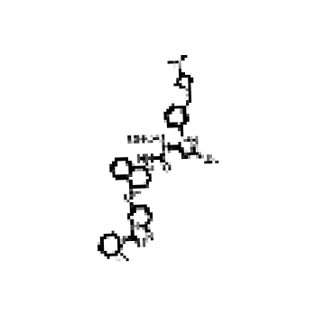 C[C@H]1CCCCN1c1nnc2ccc(O[C@@H]3CC[C@H](NC(=O)N(OC=O)c4cc(C(C)(C)C)nn4-c4cccc(CN5CC(N(C)C)C5)c4)c4ccccc43)cn12